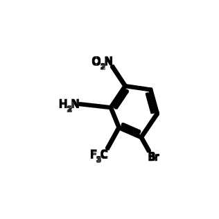 Nc1c([N+](=O)[O-])ccc(Br)c1C(F)(F)F